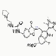 COc1cc(F)c2[nH]c(-c3c(C)nn(C)c3C)c(/C=C3\Oc4ccc(NC(=O)NCCN5CCCC5)cc4C3=O)c2c1